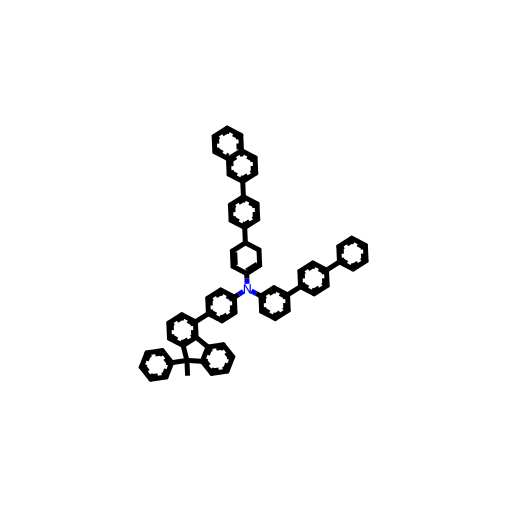 CC1(c2ccccc2)c2ccccc2-c2c(-c3ccc(N(C4=CCC(c5ccc(-c6ccc7ccccc7c6)cc5)C=C4)c4cccc(-c5ccc(-c6ccccc6)cc5)c4)cc3)cccc21